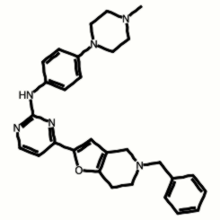 CN1CCN(c2ccc(Nc3nccc(-c4cc5c(o4)CCN(Cc4ccccc4)C5)n3)cc2)CC1